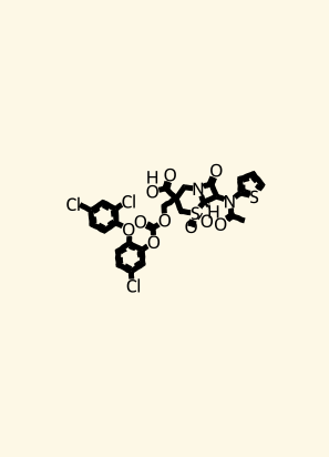 CC(=O)N(c1cccs1)C1C(=O)N2CC(COC(=O)Oc3cc(Cl)ccc3Oc3ccc(Cl)cc3Cl)(C(=O)O)CS(=O)(=O)[C@H]12